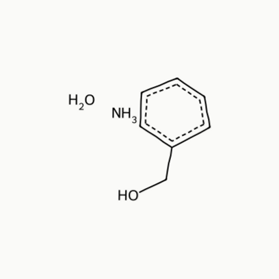 N.O.OCc1ccccc1